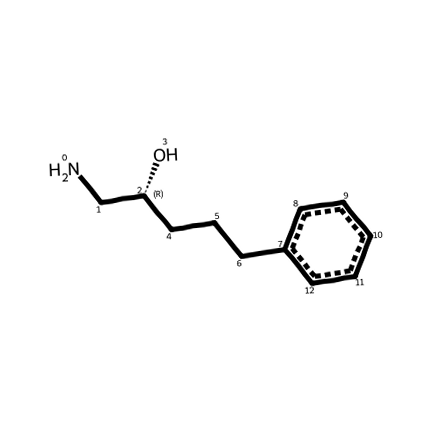 NC[C@H](O)CCCc1ccccc1